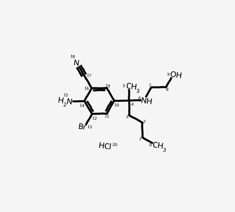 CCCCC(C)(NCCO)c1cc(Br)c(N)c(C#N)c1.Cl